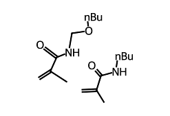 C=C(C)C(=O)NCCCC.C=C(C)C(=O)NCOCCCC